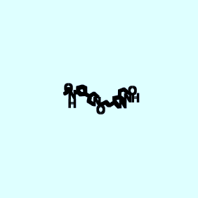 CC(=O)Nc1cccc(C2=CCN(C(=O)C=Cc3cnc4c(c3)CCC(=O)N4)CC2)c1